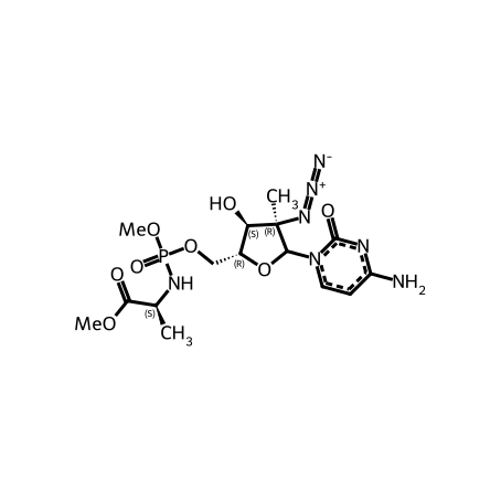 COC(=O)[C@H](C)NP(=O)(OC)OC[C@H]1OC(n2ccc(N)nc2=O)[C@](C)(N=[N+]=[N-])[C@@H]1O